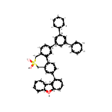 O=S1(=O)Cc2cc(-c3cccc4oc5ccccc5c34)ccc2-c2cc(-c3cc(-c4ccccc4)cc(-c4ccccc4)c3)ccc2C1